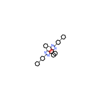 c1ccc(-c2ccc(-c3nc(-c4ccccc4-c4nc(-c5ccc(-c6ccccc6)cc5)nc5c4oc4ccccc45)c4oc5ccccc5c4n3)cc2)cc1